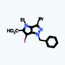 CCn1c(C(=O)O)c(I)c2c1c(C(C)C)nn2Cc1ccccc1